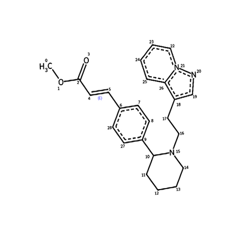 COC(=O)/C=C/c1ccc(C2CCCCN2CCc2cnn3ccccc23)cc1